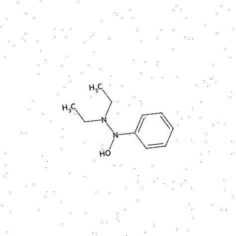 CCN(CC)N(O)c1ccccc1